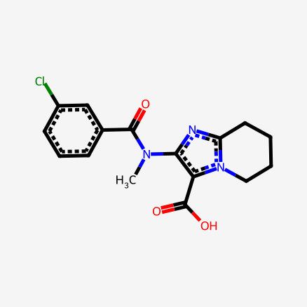 CN(C(=O)c1cccc(Cl)c1)c1nc2n(c1C(=O)O)CCCC2